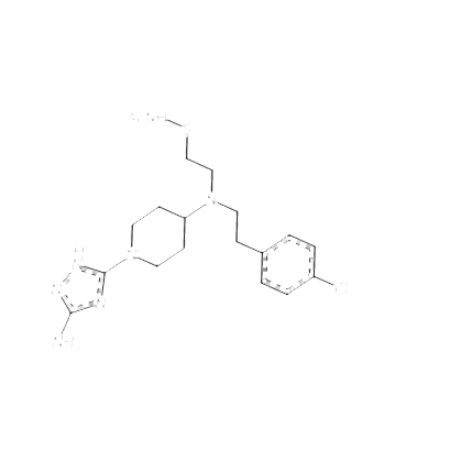 CC(=O)NSCCN(CCc1ccc(Cl)cc1)C1CCN(c2nc(N)n[nH]2)CC1